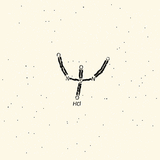 Cl.O=C=NS(=O)(=O)N=C=O